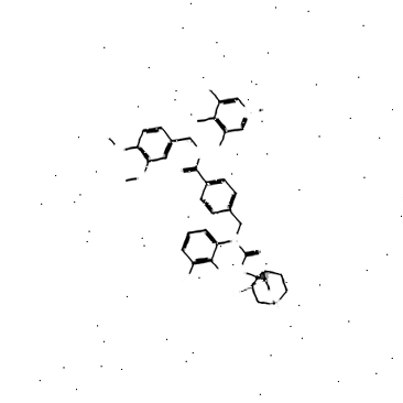 COc1ccc([C@H](Cc2c(Cl)c[n+]([O-])cc2Cl)OC(=O)c2ccc(CN(C(=O)O[C@H]3CN4CCC3CC4)c3cccc(O)c3Cl)cc2)cc1OC